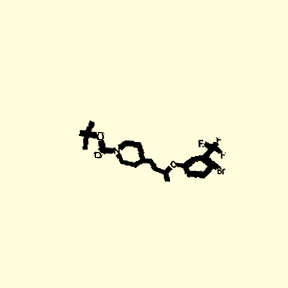 CC(CCC1CCN(C(=O)OC(C)(C)C)CC1)Oc1ccc(Br)c(C(F)(F)F)c1